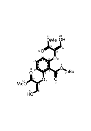 CCCCOC(=O)c1c(OC(=CO)C(=O)OC)cccc1OC(=CO)C(=O)OC